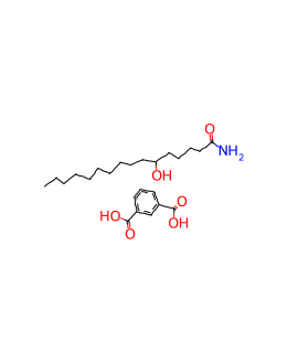 CCCCCCCCCCC(O)CCCCC(N)=O.O=C(O)c1cccc(C(=O)O)c1